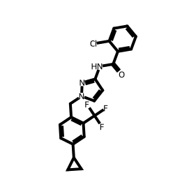 O=C(Nc1ccn(Cc2ccc(C3CC3)cc2C(F)(F)F)n1)c1ccccc1Cl